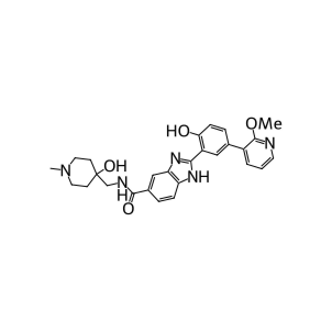 COc1ncccc1-c1ccc(O)c(-c2nc3cc(C(=O)NCC4(O)CCN(C)CC4)ccc3[nH]2)c1